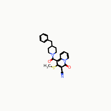 CSc1c(C#N)c(=O)n2ccccc2c1C(=O)N1CCC(Cc2ccccc2)CC1